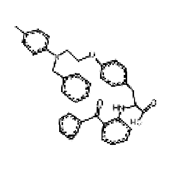 Cc1ccc(N(CCOc2ccc(CC(Nc3ccccc3C(=O)c3ccccc3)C(=O)O)cc2)Cc2ccccc2)cc1